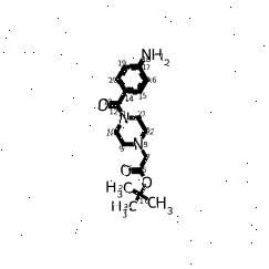 CC(C)(C)OC(=O)CN1CCN(C(=O)c2ccc(N)cc2)CC1